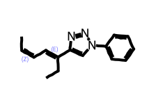 C/C=C\C=C(/CC)c1cn(-c2ccccc2)nn1